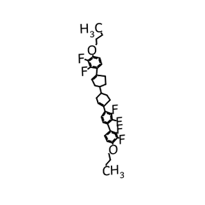 CCCCOc1ccc(C2=CCC(C3CC=C(c4ccc(-c5ccc(OCCCC)c(F)c5F)c(F)c4F)CC3)CC2)c(F)c1F